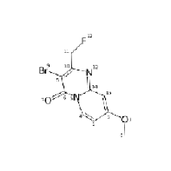 COc1ccn2c(=O)c(Br)c(CF)nc2c1